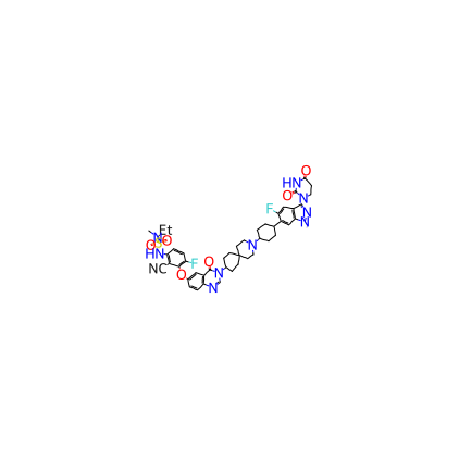 CCN(C)S(=O)(=O)Nc1ccc(F)c(Oc2ccc3ncn(C4CCC5(CC4)CCN(C4CCC(c6cc7c(cc6F)c(N6CCC(=O)NC6=O)nn7C)CC4)CC5)c(=O)c3c2)c1C#N